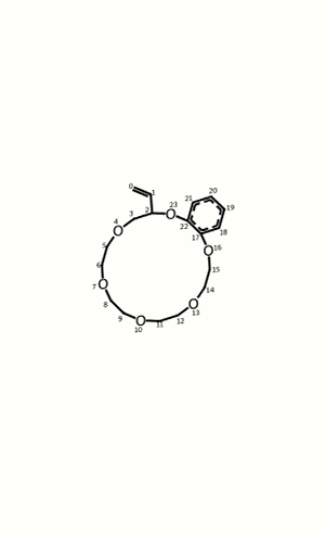 C=CC1COCCOCCOCCOCCOc2ccccc2O1